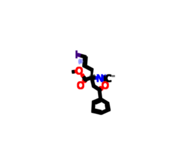 [C-]#[N+][C@](C/C=C/I)(CC(=O)c1ccccc1)C(=O)OC